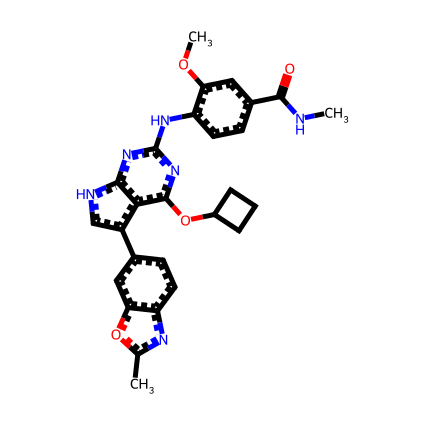 CNC(=O)c1ccc(Nc2nc(OC3CCC3)c3c(-c4ccc5nc(C)oc5c4)c[nH]c3n2)c(OC)c1